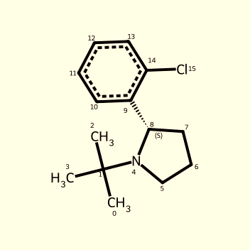 CC(C)(C)N1CCC[C@H]1c1ccccc1Cl